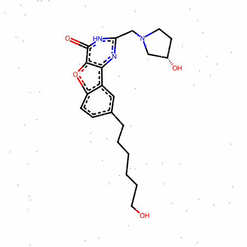 O=c1[nH]c(CN2CC[C@H](O)C2)nc2c1oc1ccc(CCCCCCO)cc12